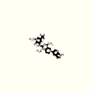 CO[C@H]1CN(c2cnc3[nH]ncc3c2)CC[C@@H]1N(C)C(=O)Nc1cc(C(F)(F)F)cn(C)c1=O